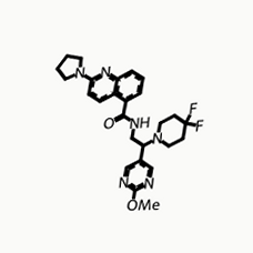 COc1ncc(C(CNC(=O)c2cccc3nc(N4CCCC4)ccc23)N2CCC(F)(F)CC2)cn1